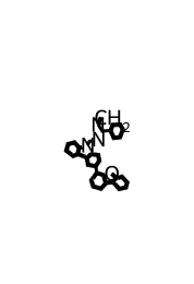 C=N/C(=N\Cn1c2ccccc2c2cc(-c3cccc4c3oc3ccccc34)ccc21)c1ccccc1